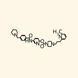 Cc1cccc(CCCN2CCN(C(=O)Oc3ccc(NC(=O)c4ccc(CN5CCCCC5)cc4)cn3)CC2)n1